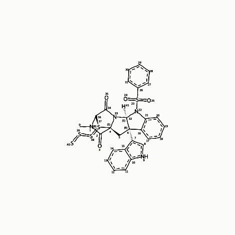 CN1C(=O)[C@@]23C[C@]4(c5c[nH]c6ccccc56)c5ccccc5N(S(=O)(=O)c5ccccc5)[C@@H]4N2C(=O)C1[S@@]3=S=S=S